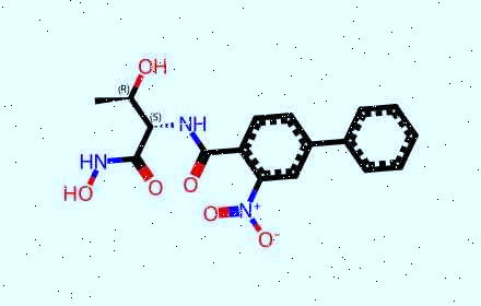 C[C@@H](O)[C@H](NC(=O)c1ccc(-c2ccccc2)cc1[N+](=O)[O-])C(=O)NO